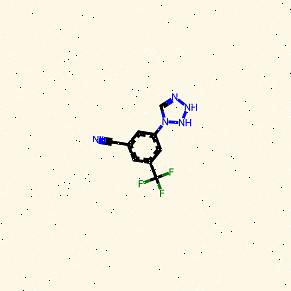 N#Cc1cc(N2C=NNN2)cc(C(F)(F)F)c1